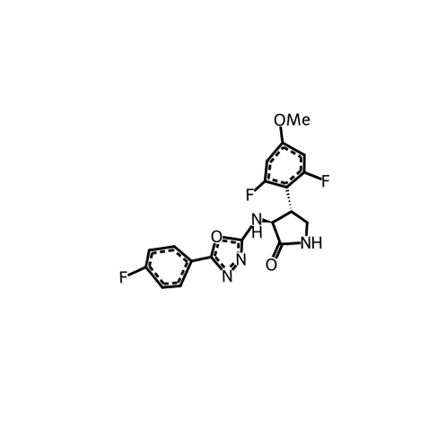 COc1cc(F)c([C@@H]2CNC(=O)[C@H]2Nc2nnc(-c3ccc(F)cc3)o2)c(F)c1